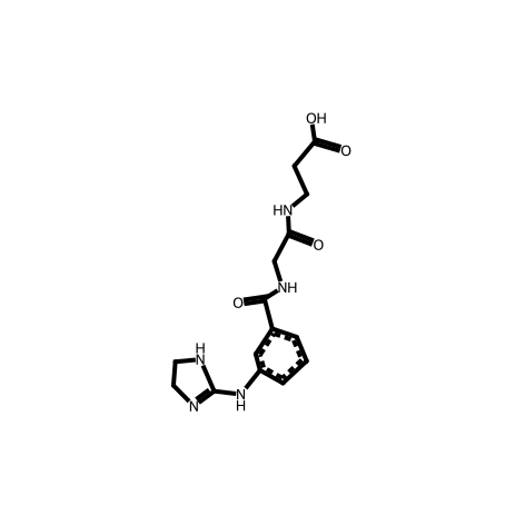 O=C(O)CCNC(=O)CNC(=O)c1cccc(NC2=NCCN2)c1